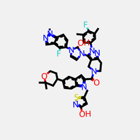 Cc1cc(-n2nc3c(c2N2C=CN(c4ccc5c(cnn5C)c4F)C2O)CN(C(=O)c2cc4cc(C5CCOC(C)(C)C5)ccc4n2Cc2cc(O)ns2)CC3)cc(C)c1F